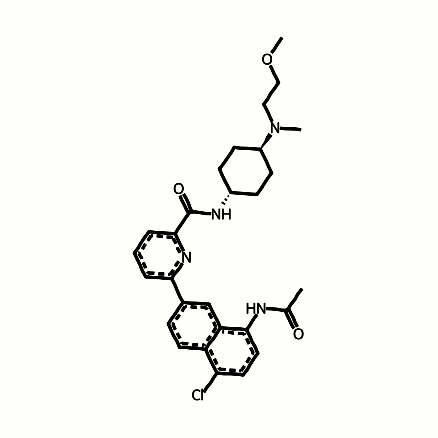 COCCN(C)[C@H]1CC[C@H](NC(=O)c2cccc(-c3ccc4c(Cl)ccc(NC(C)=O)c4c3)n2)CC1